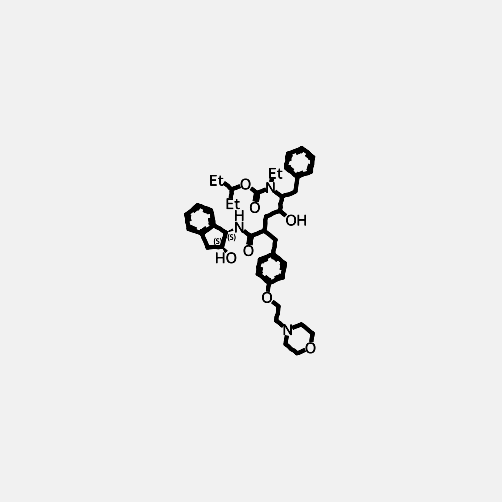 CCC(CC)OC(=O)N(CC)C(Cc1ccccc1)C(O)CC(Cc1ccc(OCCN2CCOCC2)cc1)C(=O)N[C@H]1c2ccccc2C[C@@H]1O